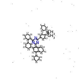 C[Si]1(C)c2ccccc2-c2cc(-c3nc(-c4ccccc4-c4ccccc4)nc(-c4ccc(-c5ccccc5)c5ccccc45)n3)ccc21